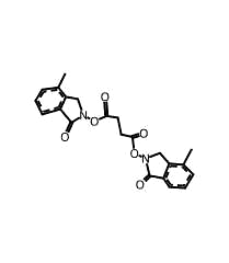 Cc1cccc2c1CN(OC(=O)CCC(=O)ON1Cc3c(C)cccc3C1=O)C2=O